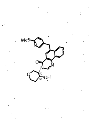 CSc1ccc(Cc2cc3c(=O)n([C@H]4COCC[C@@H]4O)cnc3c3ccccc23)cn1